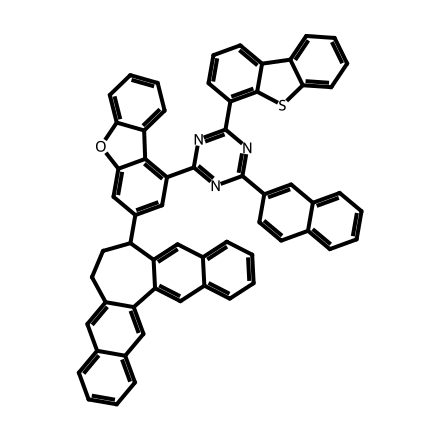 c1ccc2cc(-c3nc(-c4cccc5c4sc4ccccc45)nc(-c4cc(C5CCc6cc7ccccc7cc6-c6cc7ccccc7cc65)cc5oc6ccccc6c45)n3)ccc2c1